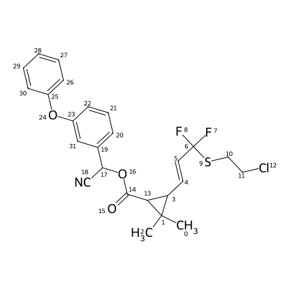 CC1(C)C(C=CC(F)(F)SCCCl)C1C(=O)OC(C#N)c1cccc(Oc2ccccc2)c1